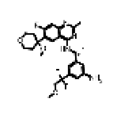 COCC(F)(F)c1cc(N)cc([C@@H](C)Nc2nc(C)nc3cc(F)c(C4(OC)CCOCC4)cc23)c1